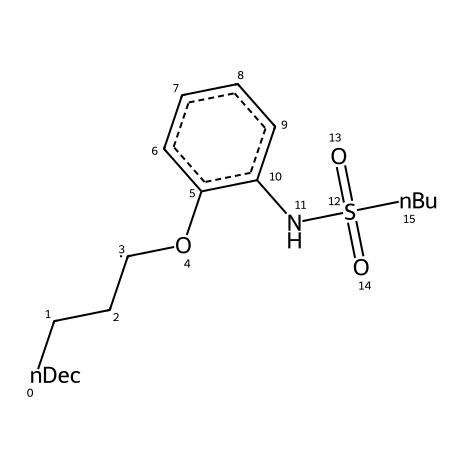 CCCCCCCCCCCC[CH]Oc1ccccc1NS(=O)(=O)CCCC